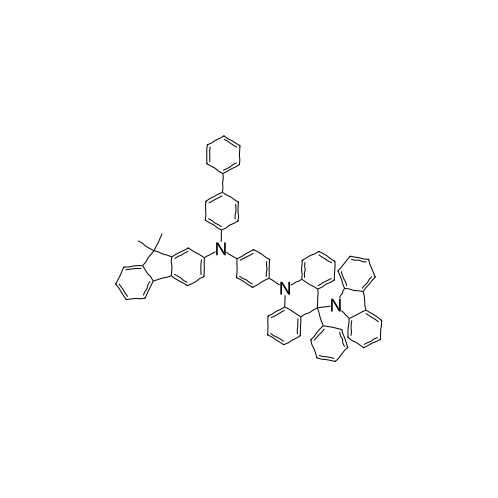 CC1(C)c2ccccc2-c2ccc(N(c3ccc(-c4ccccc4)cc3)c3ccc(N4c5ccccc5C(c5ccccc5)(n5c6ccccc6c6ccccc65)c5ccccc54)cc3)cc21